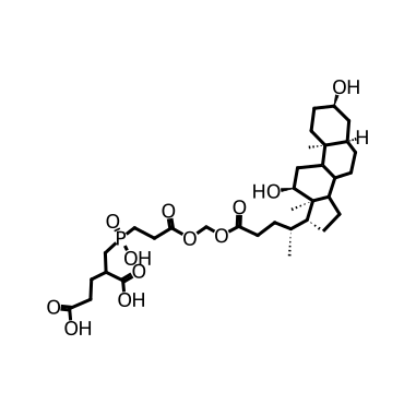 C[C@H](CCC(=O)OCOC(=O)CCP(=O)(O)CC(CCC(=O)O)C(=O)O)[C@H]1CCC2C3CC[C@@H]4C[C@H](O)CC[C@]4(C)C3C[C@H](O)[C@@]21C